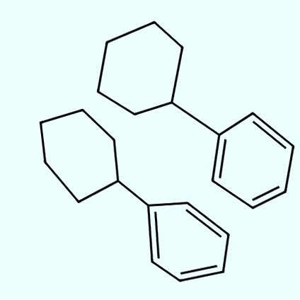 c1ccc(C2CCCCC2)cc1.c1ccc(C2CCCCC2)cc1